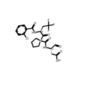 O=C[C@H](CC(=O)O)NC(=O)[N+]1(C(=O)[C@H](CC(F)(F)F)NC(=O)c2ccccc2Cl)CCCC1